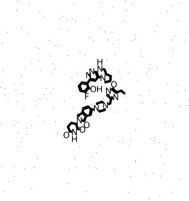 CCc1nc(CN2CCN(c3ccc4c(c3)C(=O)N(C3CCC(=O)NC3=O)C4)CC2)cnc1OC1CC2CNc3nnc(-c4cccc(F)c4O)cc3N2C1